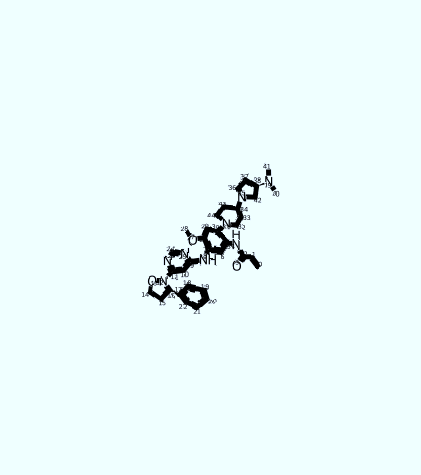 C=CC(=O)Nc1cc(Nc2cc(N3OCC[C@@H]3c3ccccc3)ncn2)c(OC)cc1N1CCC(N2CC[C@H](N(C)C)C2)CC1